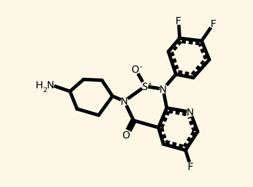 NC1CCC(N2C(=O)c3cc(F)cnc3N(c3ccc(F)c(F)c3)[S+]2[O-])CC1